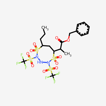 CCCC1CC(C(C)C(=O)OCc2ccccc2)S(=O)(=O)N(S(=O)(=O)C(F)(F)F)NN(S(=O)(=O)C(F)(F)F)S1(=O)=O